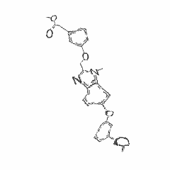 COC(=O)c1cccc(OCc2nc3ccc(Oc4cccc(OC)c4)cc3n2C)c1